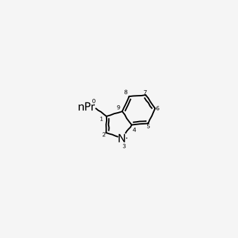 CCCC1=C[N]c2ccccc21